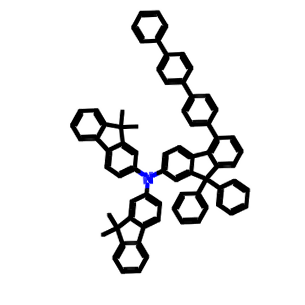 CC1(C)c2ccccc2-c2ccc(N(c3ccc4c(c3)C(C)(C)c3ccccc3-4)c3ccc4c(c3)C(c3ccccc3)(c3ccccc3)c3cccc(-c5ccc(-c6ccc(-c7ccccc7)cc6)cc5)c3-4)cc21